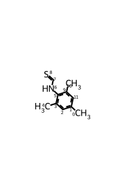 Cc1cc(C)c(NC=S)c(C)c1